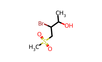 CC(O)C(Br)CS(C)(=O)=O